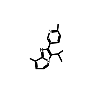 Cc1ccc(-c2nc3c(C)cccn3c2C(C)C)cn1